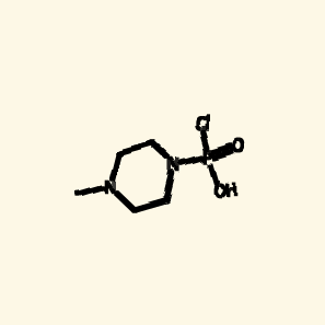 CN1CCN(P(=O)(O)Cl)CC1